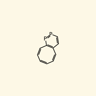 C1=CC=Cc2ppccc2C=C1